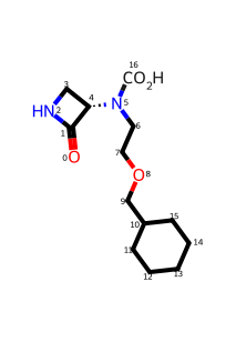 O=C1NC[C@@H]1N(CCOCC1CCCCC1)C(=O)O